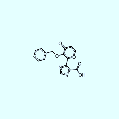 O=C(O)c1scnc1-c1occc(=O)c1OCc1ccccc1